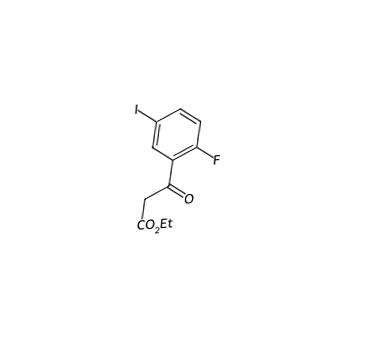 CCOC(=O)CC(=O)c1cc(I)ccc1F